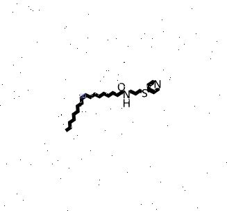 CCCCCCCC/C=C\CCCCCCCC(=O)NCCCSc1ccncc1